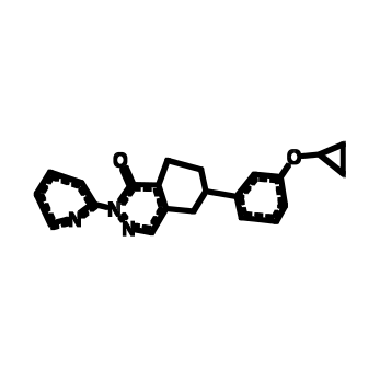 O=c1c2c(cnn1-c1ccccn1)CC(c1cccc(OC3CC3)c1)CC2